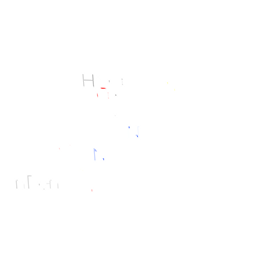 CCCCCS(=O)(=O)N1CC(=O)N(c2cc(-c3ccccc3)sc2C(=O)O)C(C2CCCCC2)C1